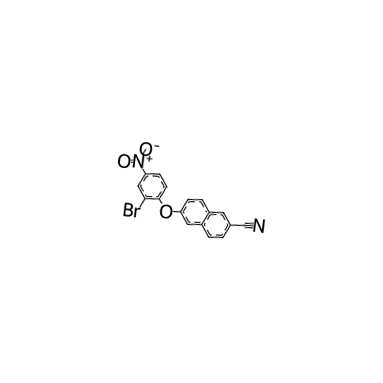 N#Cc1ccc2cc(Oc3ccc([N+](=O)[O-])cc3Br)ccc2c1